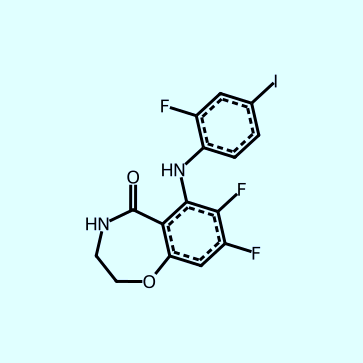 O=C1NCCOc2cc(F)c(F)c(Nc3ccc(I)cc3F)c21